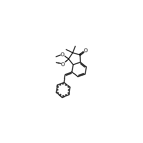 COC1(OC)C2C(=Cc3ccccc3)C=CC=C2C(=O)C1(C)C